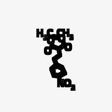 CC1(C)OC(=O)C(CCc2ccc([N+](=O)[O-])cc2)C(=O)O1